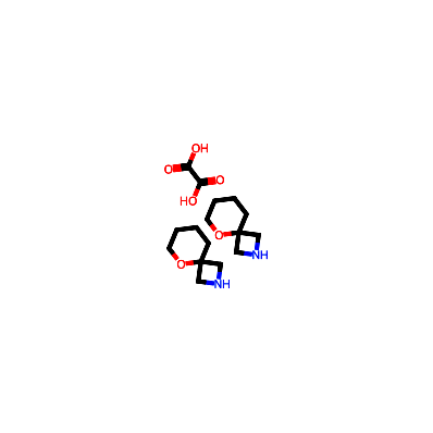 C1CCC2(CNC2)OC1.C1CCC2(CNC2)OC1.O=C(O)C(=O)O